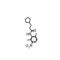 Cc1ccc([N+](=O)[O-])c(C)c1NC(=O)CCC1CCCC1